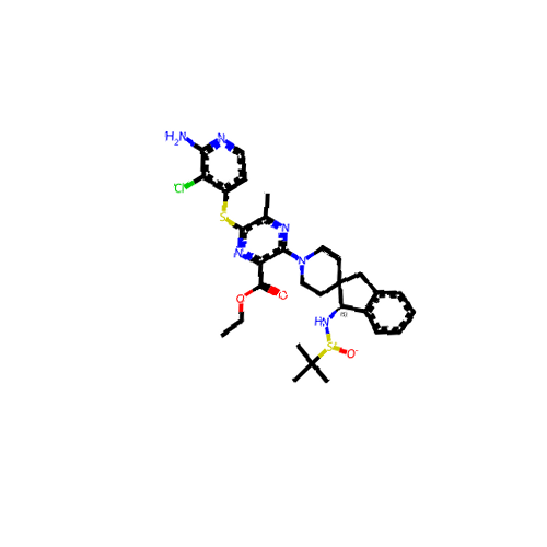 CCOC(=O)c1nc(Sc2ccnc(N)c2Cl)c(C)nc1N1CCC2(CC1)Cc1ccccc1[C@H]2N[S+]([O-])C(C)(C)C